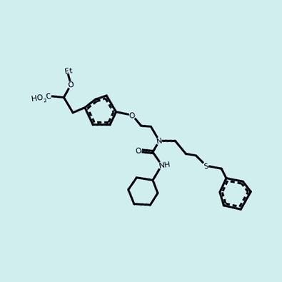 CCOC(Cc1ccc(OCCN(CCCSCc2ccccc2)C(=O)NC2CCCCC2)cc1)C(=O)O